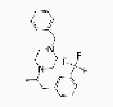 C[C@H](Cc1cccc(C(F)(F)F)c1)N1CCN(Cc2ccccc2)CC1